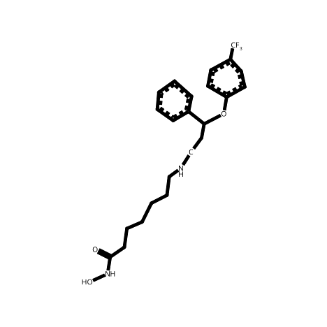 O=C(CCCCCCNCCC(Oc1ccc(C(F)(F)F)cc1)c1ccccc1)NO